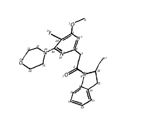 COc1nc(CC(=O)N2c3ccccc3CC2C)nc(N2CCOCC2)c1F